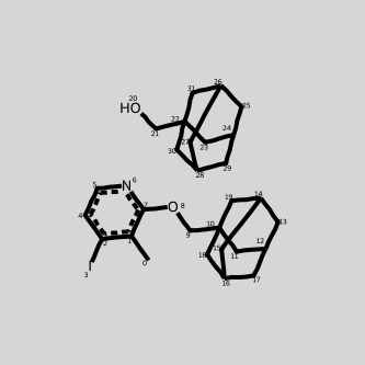 Cc1c(I)ccnc1OCC12CC3CC(CC(C3)C1)C2.OCC12CC3CC(CC(C3)C1)C2